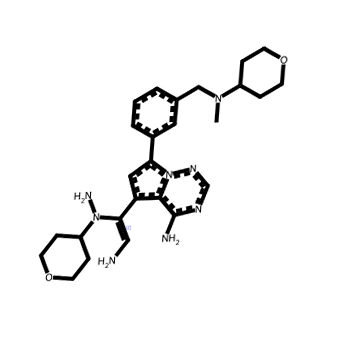 CN(Cc1cccc(-c2cc(/C(=C/N)N(N)C3CCOCC3)c3c(N)ncnn23)c1)C1CCOCC1